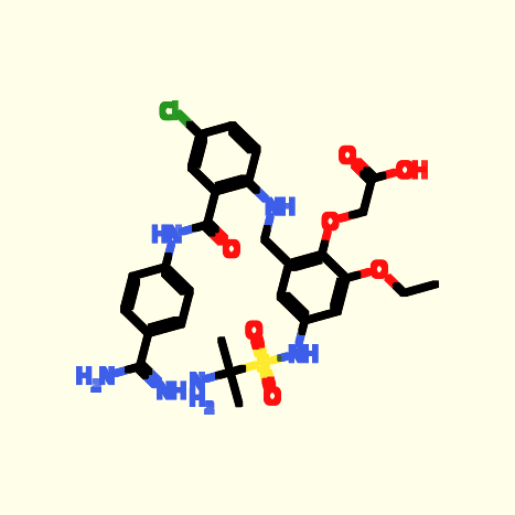 CCOc1cc(NS(=O)(=O)C(C)(C)N)cc(CNc2ccc(Cl)cc2C(=O)Nc2ccc(C(=N)N)cc2)c1OCC(=O)O